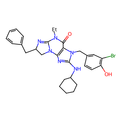 CCN1C(=O)c2c(nc(NC3CCCCC3)n2Cc2ccc(O)c(Br)c2)N2CC(Cc3ccccc3)N=C12